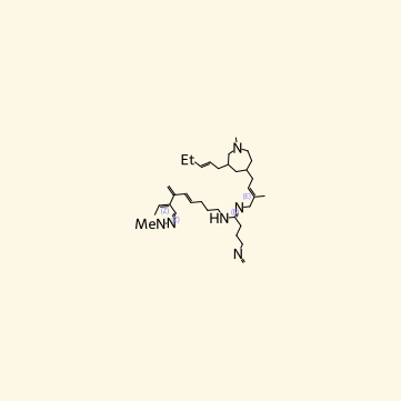 C=NCCC/C(=N\C/C(C)=C/CC1CCN(C)CC(CC=CCC)C1)NCCCC=CC(=C)C(/C=N\NC)=C/C